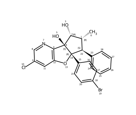 C[C@H]1[C@@H](O)[C@@]2(O)c3ncc(Cl)cc3O[C@@]2(c2ccc(Br)cc2)[C@@H]1c1ccccc1